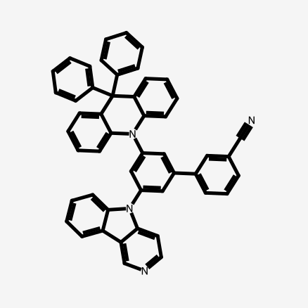 N#Cc1cccc(-c2cc(N3c4ccccc4C(c4ccccc4)(c4ccccc4)c4ccccc43)cc(-n3c4ccccc4c4cnccc43)c2)c1